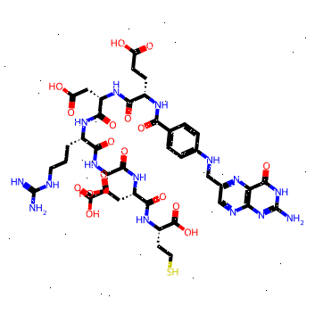 N=C(N)NCCC[C@H](NC(=O)[C@H](CC(=O)O)NC(=O)[C@H](CCC(=O)O)NC(=O)c1ccc(NCc2cnc3nc(N)[nH]c(=O)c3n2)cc1)C(=O)N[C@@H](CC(=O)O)C(=O)N[C@@H](CC(=O)O)C(=O)N[C@@H](CCS)C(=O)O